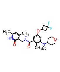 CCN(c1cc(OC2CC(F)(F)C2)cc(C(=O)NCc2c(C)cc(C)[nH]c2=O)c1C)C1CCOCC1